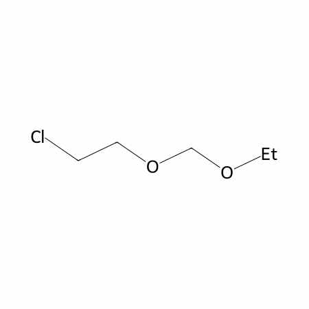 CCOCOCCCl